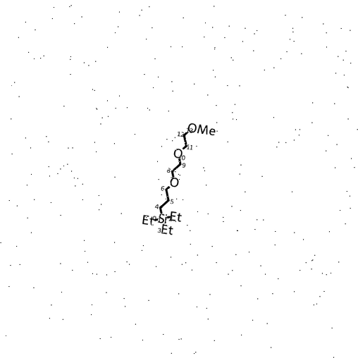 CC[Si](CC)(CC)CCCOCCOCCOC